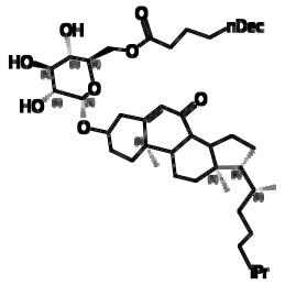 CCCCCCCCCCCCCC(=O)OC[C@H]1O[C@H](OC2CC[C@@]3(C)C(=CC(=O)C4C3CC[C@@]3(C)C4CC[C@@H]3[C@H](C)CCCC(C)C)C2)[C@H](O)[C@@H](O)[C@@H]1O